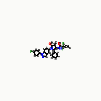 CC1C(=O)N(c2ccc3c(cnn3-c3ccc(F)cc3)c2)C(c2ccccc2)C1NC(=O)C(C)(F)F